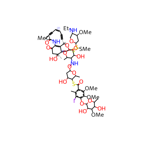 CC#C/C=C\C#C[C@H](OC1OC(C)C(NOC2CC(O)C(SC(=O)c3c(C)c(I)c(OC4OC(C)C(O)C(OC)C4O)c(OC)c3OC)C(C)O2)C(O)C1OC1CC(OC)C(NCC)CO1)C1=C(NC(=O)OC)C(=O)C[C@](C)(O)/C1=C/CSSSC